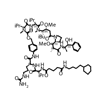 CCC(C)[C@@H]([C@@H](CC(=O)N1CCC[C@H]1[C@H](OC)[C@@H](C)C(=O)N[C@H](C)[C@@H](O)c1ccccc1)OC)N(C)C(=O)[C@@H](NC(=O)[C@H](C(C)C)N(C)C(=O)OCc1ccc(NC(=O)[C@H](CCCNC(N)=O)NC(=O)[C@@H](NC(=O)CCCC(=O)NCCCCC2CCCCC2)C(C)C)cc1)C(C)C